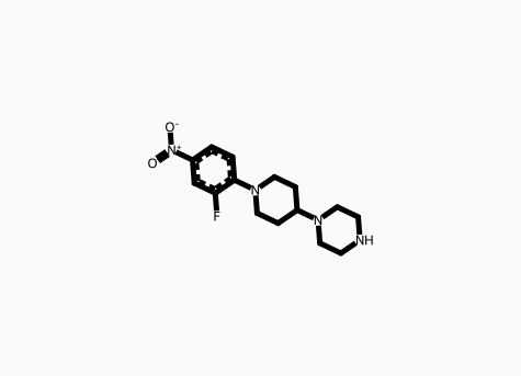 O=[N+]([O-])c1ccc(N2CCC(N3CCNCC3)CC2)c(F)c1